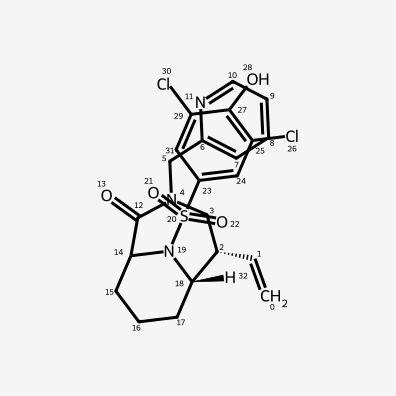 C=C[C@H]1CN(Cc2ccccn2)C(=O)C2CCC[C@@H]1N2S(=O)(=O)c1cc(Cl)c(O)c(Cl)c1